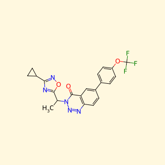 CC(c1nc(C2CC2)no1)n1nnc2ccc(-c3ccc(OC(F)(F)F)cc3)cc2c1=O